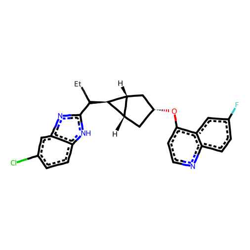 CCC(c1nc2cc(Cl)ccc2[nH]1)[C@H]1[C@@H]2C[C@H](Oc3ccnc4ccc(F)cc34)C[C@@H]21